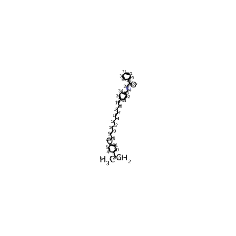 C=C(C)c1ccc(OCCCCCCCCCCCCc2ccc(/C=C/C(=O)c3ccccc3)cc2)cc1